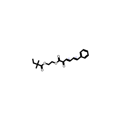 CCC(C)(C)C(=O)OCCOC(=O)C(=O)/C=C/C=C/c1ccccc1